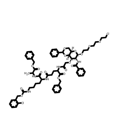 CC(NC(=O)C(CCCCNC(=O)OCc1ccccc1Cl)NC(=O)CCC(NC(=O)CO[C@@H]1[C@H](NC(=O)c2ccccc2)[C@H](OCCOCCOCCCl)O[C@@H]2COC(c3ccccc3)O[C@@H]12)C(=O)OCc1ccccc1)C(=O)OCc1ccccc1